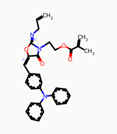 C=CC/N=C1/O/C(=C/c2ccc(N(c3ccccc3)c3ccccc3)cc2)C(=O)N1CCOC(=O)C(=C)C